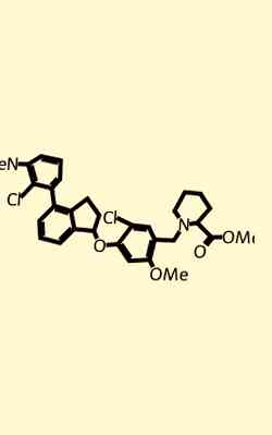 CNc1cccc(-c2cccc3c2CCC3Oc2cc(OC)c(CN3CCCCC3C(=O)OC)cc2Cl)c1Cl